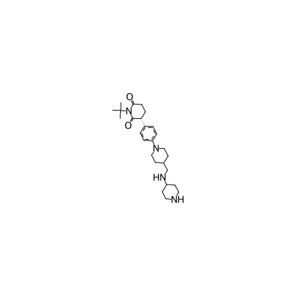 CC(C)(C)N1C(=O)CC[C@H](c2ccc(N3CCC(CNC4CCNCC4)CC3)cc2)C1=O